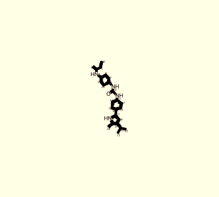 C=CC(=C)Nc1ccc(NC(=O)Nc2ccc(-c3cc(=C(C)C)c(=C)[nH]3)cc2)cc1